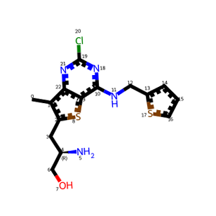 Cc1c(C[C@@H](N)CO)sc2c(NCc3cccs3)nc(Cl)nc12